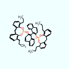 CCCc1cccc2c1OP(Oc1ccc3ccccc3c1-c1c(OP3Oc4c(CCC)cccc4Cc4cccc(CCC)c4O3)ccc3ccccc13)Oc1c(CCC)cccc1C2